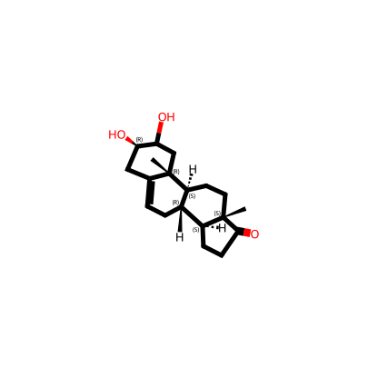 C[C@]12CC(O)[C@H](O)CC1=CC[C@@H]1[C@@H]2CC[C@]2(C)C(=O)CC[C@@H]12